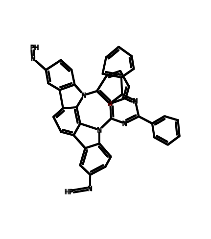 P=Nc1ccc2c(c1)c1ccc3c4cc(N=P)ccc4n(-c4nc(-c5ccccc5)nc(-c5ccccc5)n4)c3c1n2-c1ccccc1